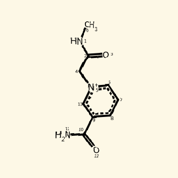 CNC(=O)C[n+]1cccc(C(N)=O)c1